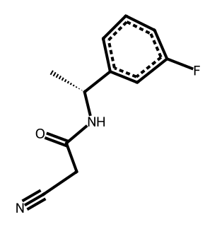 C[C@@H](NC(=O)CC#N)c1cccc(F)c1